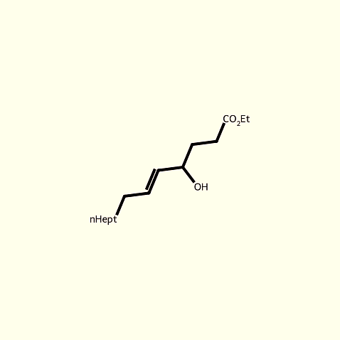 CCCCCCCCC=CC(O)CCC(=O)OCC